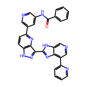 O=C(Nc1cncc(-c2ccc3[nH]nc(-c4nc5c(-c6ccccn6)cncc5[nH]4)c3n2)c1)c1ccccc1